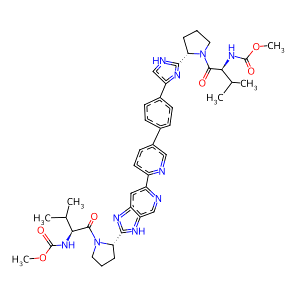 COC(=O)N[C@H](C(=O)N1CCC[C@H]1c1nc(-c2ccc(-c3ccc(-c4cc5nc([C@@H]6CCCN6C(=O)[C@@H](NC(=O)OC)C(C)C)[nH]c5cn4)nc3)cc2)c[nH]1)C(C)C